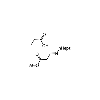 CCC(=O)O.CCCCCCCN=CCC(=O)OC